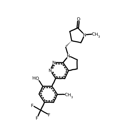 Cc1cc(C(F)(F)F)cc(O)c1-c1cc2c(nn1)N(C[C@@H]1CC(=O)N(C)C1)CC2